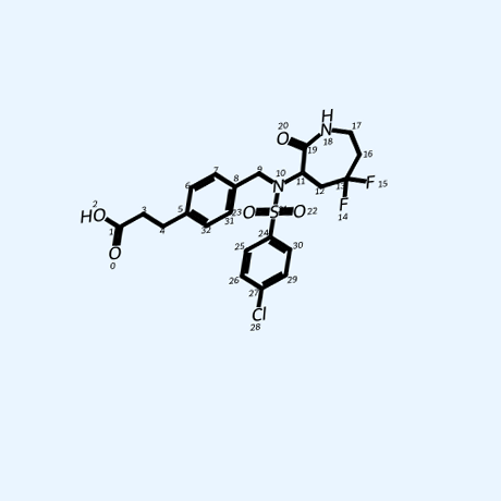 O=C(O)CCc1ccc(CN(C2CC(F)(F)CCNC2=O)S(=O)(=O)c2ccc(Cl)cc2)cc1